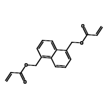 C=CC(=O)OCc1cccc2c(COC(=O)C=C)cccc12